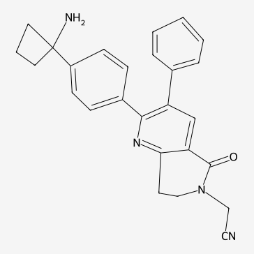 N#CCN1CCc2nc(-c3ccc(C4(N)CCC4)cc3)c(-c3ccccc3)cc2C1=O